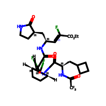 CCOC(=O)/C(F)=C/[C@@H](C[C@H]1CCNC1=O)NC(=O)[C@H]1[C@@H]2CC[C@@H](CC2(F)F)N1C(=O)[C@H](CC1CCC1)NC(=O)C(F)(F)F